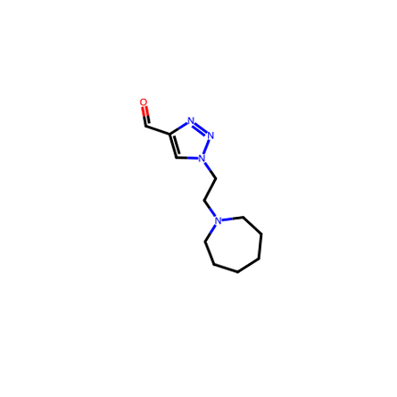 O=Cc1cn(CCN2CCCCCC2)nn1